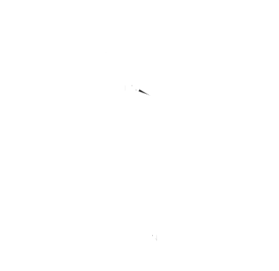 Cc1ncsc1-c1ccc([C@@H](N[S+]([O-])C(C)(C)C)C(F)F)cc1